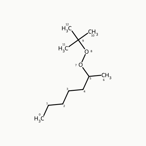 CCCCCC(C)OOC(C)(C)C